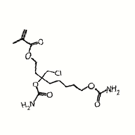 C=C(C)C(=O)OCCC(CCl)(CCCCCOC(N)=O)OC(N)=O